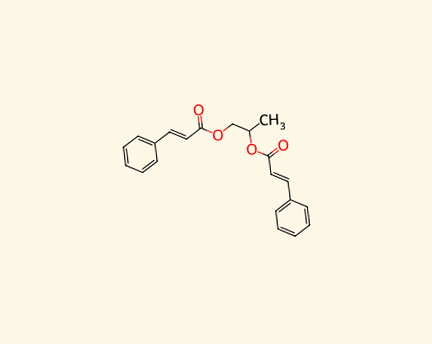 CC(COC(=O)C=Cc1ccccc1)OC(=O)C=Cc1ccccc1